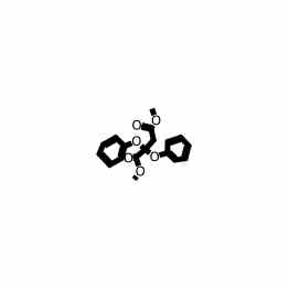 COC(=O)CC(Oc1ccccc1)(Oc1ccccc1)C(=O)OC